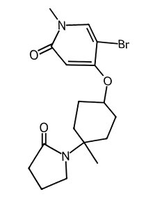 Cn1cc(Br)c(OC2CCC(C)(N3CCCC3=O)CC2)cc1=O